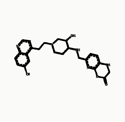 N#Cc1ccc2nccc(CCN3CCC(NCc4ccc5c(n4)OC(=O)CN5)C(O)C3)c2c1